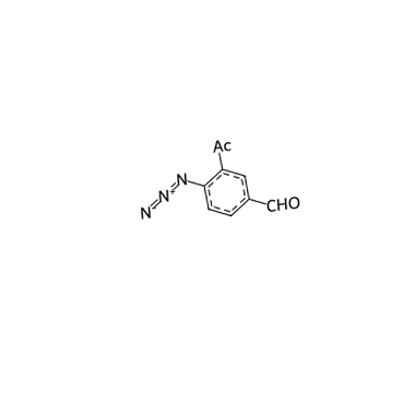 CC(=O)c1cc(C=O)ccc1N=[N+]=[N-]